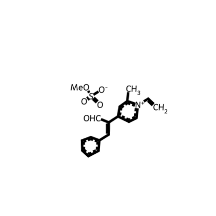 C=C[n+]1ccc(C(C=O)=Cc2ccccc2)cc1C.COS(=O)(=O)[O-]